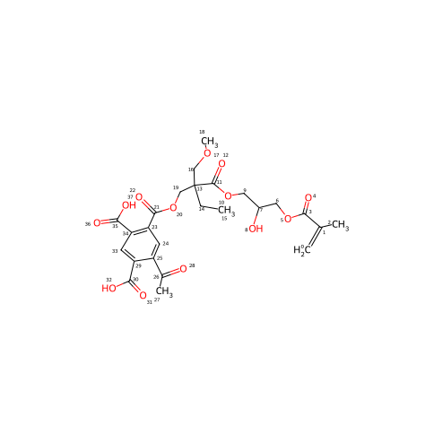 C=C(C)C(=O)OCC(O)COC(=O)C(CC)(COC)COC(=O)c1cc(C(C)=O)c(C(=O)O)cc1C(=O)O